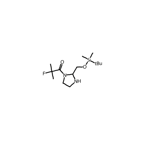 CC(C)(F)C(=O)N1CCNC1CO[Si](C)(C)C(C)(C)C